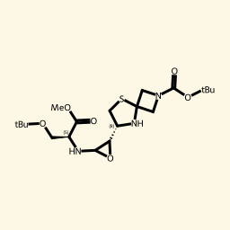 COC(=O)[C@H](COC(C)(C)C)NC1OC1[C@@H]1CSC2(CN(C(=O)OC(C)(C)C)C2)N1